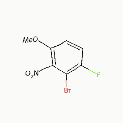 COc1ccc(F)c(Br)c1[N+](=O)[O-]